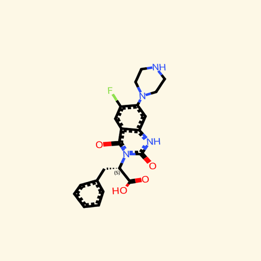 O=C(O)[C@H](Cc1ccccc1)n1c(=O)[nH]c2cc(N3CCNCC3)c(F)cc2c1=O